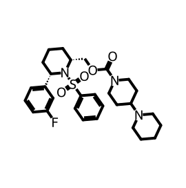 O=C(OC[C@H]1CCC[C@@H](c2cccc(F)c2)N1S(=O)(=O)c1ccccc1)N1CCC(N2CCCCC2)CC1